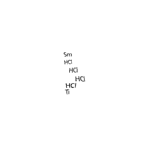 Cl.Cl.Cl.Cl.[Sm].[Ti]